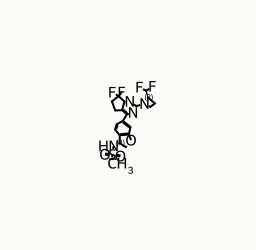 CS(=O)(=O)N[C@H]1COc2cc(-c3nc(N4CC[C@@H]4C(F)F)nc4c3CCC4(F)F)ccc21